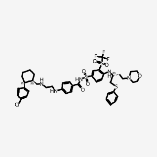 O=C(NS(=O)(=O)c1ccc(N[C@H](CCN2CCOCC2)CSc2ccccc2)c(S(=O)(=O)C(F)(F)F)c1)c1ccc(NCCNC[C@@H]2CCCC[C@@H]2c2ccc(Cl)cc2)cc1